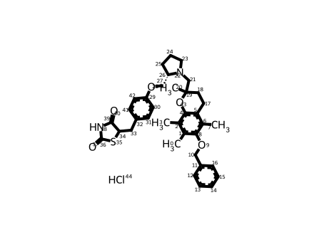 Cc1c(C)c2c(c(C)c1OCc1ccccc1)CCC(C)(CN1CCC[C@H]1COc1ccc(CC3SC(=O)NC3=O)cc1)O2.Cl